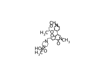 COCC(C)Oc1cnccc1-c1cn(C)c(=O)c2cc(CN3CCN(P(C)(=O)O)CC3)oc12